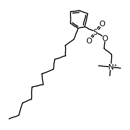 CCCCCCCCCCCCc1ccccc1S(=O)(=O)OCC[N+](C)(C)C